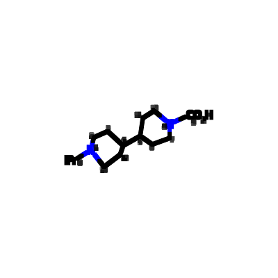 CC(C)N1CCC(C2CCN(C(=O)O)CC2)CC1